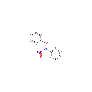 O=[PH2]N(Oc1ccccc1)c1ccccc1